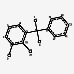 Clc1cccc(C(Cl)(Cl)c2ccccc2)c1Cl